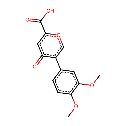 COc1ccc(-c2coc(C(=O)O)cc2=O)cc1OC